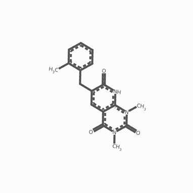 Cc1ccccc1Cc1cc2c(=O)n(C)c(=O)n(C)c2[nH]c1=O